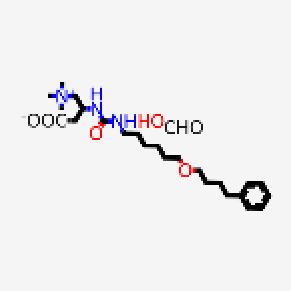 C[N+](C)(C)CC(CC(=O)[O-])NC(=O)NCCCCCCOCCCCc1ccccc1.O=CO